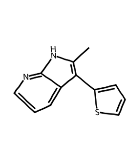 Cc1[nH]c2ncccc2c1-c1cccs1